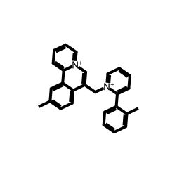 Cc1ccc2c(C[n+]3ccccc3-c3ccccc3C)c[n+]3ccccc3c2c1